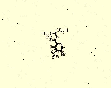 CCO[C@@H](CC(C(=O)O)C(=O)O)c1ncc(Br)c([Si](C)(C)C)c1F